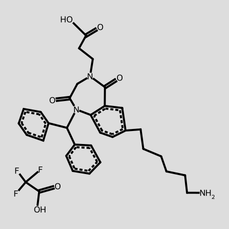 NCCCCCCc1ccc2c(c1)C(=O)N(CCC(=O)O)CC(=O)N2C(c1ccccc1)c1ccccc1.O=C(O)C(F)(F)F